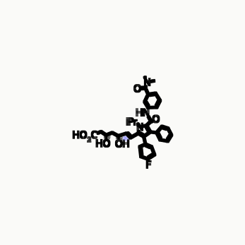 CC(C)n1c(/C=C/[C@@H](O)C[C@@H](O)CC(=O)O)c(-c2ccc(F)cc2)c(-c2ccccc2)c1C(=O)Nc1cccc(C(=O)N(C)C)c1